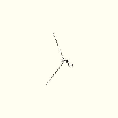 CCCCCCCCCCCCCCCCCCP(=O)(CCCCCCCCCCCCCCCCCC)NCCO